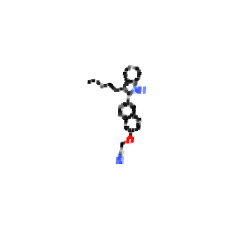 CCCCCc1c(-c2ccc3cc(OCC#N)ccc3c2)[nH]c2ccccc12